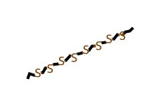 CCCSCCSCCSCCSCCSCCSCCSCCSCCC